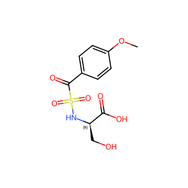 COc1ccc(C(=O)S(=O)(=O)N[C@H](CO)C(=O)O)cc1